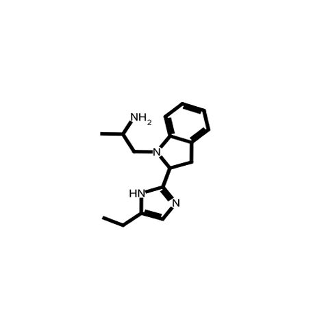 CCc1cnc(C2Cc3ccccc3N2CC(C)N)[nH]1